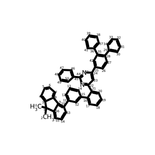 CC1(C)c2ccccc2-c2c(-c3cccc(-c4ccccc4-c4cc(-c5ccc(-c6ccccc6)c(-c6ccccc6)c5)nc(-c5ccccc5)n4)c3)cccc21